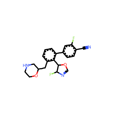 N#Cc1ccc(-c2cccc(CC3CNCCO3)c2C2OC=NC2F)cc1F